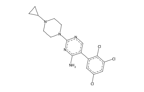 Nc1nc(N2CCN(C3CC3)CC2)ncc1-c1cc(Cl)cc(Cl)c1Cl